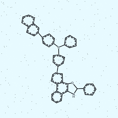 c1ccc(C2Nc3c(c4cc(-c5ccc(N(c6ccccc6)c6ccc(-c7ccc8ccccc8c7)cc6)cc5)ccc4c4ccccc34)O2)cc1